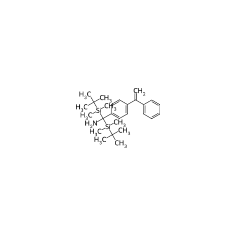 C=C(c1ccccc1)c1ccc(C(N)([Si](C)(C)C(C)(C)C)[Si](C)(C)C(C)(C)C)cc1